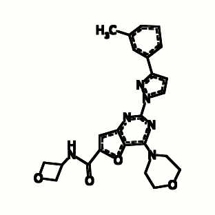 Cc1cccc(-c2ccn(-c3nc(N4CCOCC4)c4oc(C(=O)NC5COC5)cc4n3)n2)c1